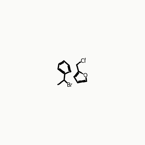 CC(Br)c1ccccc1.ClCc1ccco1